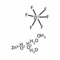 O.O.O.O.O.[F][Zr-2]([F])([F])([F])([F])[F].[Zn+2]